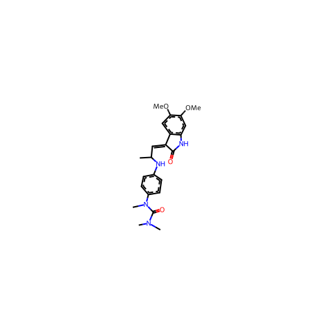 COc1cc2c(cc1OC)C(=CC(C)Nc1ccc(N(C)C(=O)N(C)C)cc1)C(=O)N2